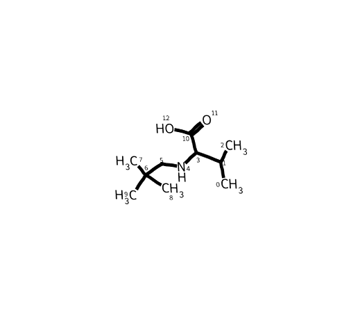 CC(C)C(NCC(C)(C)C)C(=O)O